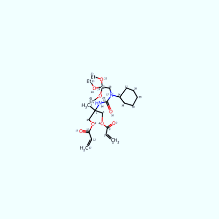 C=CC(=O)OCC(C)(COC(=O)C=C)NC(=O)N(C[Si](OCC)(OCC)OCC)C1CCCCC1